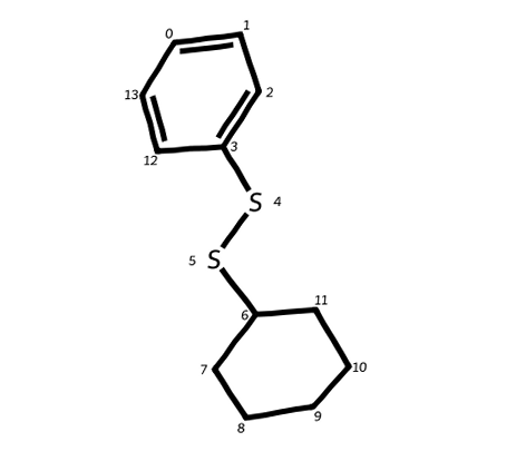 c1ccc(SSC2CCCCC2)cc1